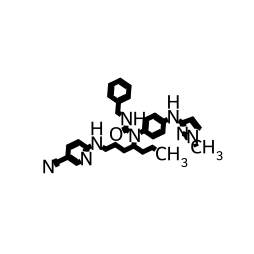 CCCC(CCCNc1ccc(C#N)cn1)N(C(=O)NCc1ccccc1)c1ccc(Nc2ccn(C)n2)cc1